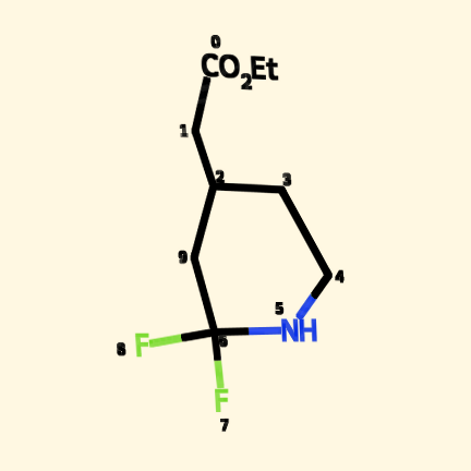 CCOC(=O)CC1CCNC(F)(F)C1